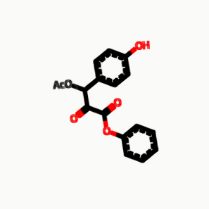 CC(=O)OC(C(=O)C(=O)Oc1ccccc1)c1ccc(O)cc1